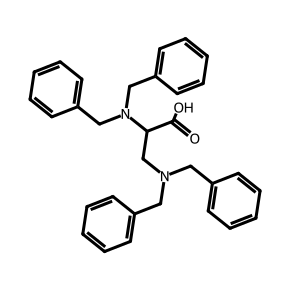 O=C(O)C(CN(Cc1ccccc1)Cc1ccccc1)N(Cc1ccccc1)Cc1ccccc1